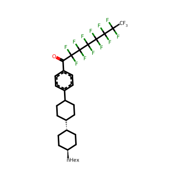 CCCCCC[C@H]1CC[C@H](C2CCC(c3ccc(C(=O)C(F)(F)C(F)(F)C(F)(F)C(F)(F)C(F)(F)C(F)(F)C(F)(F)F)cc3)CC2)CC1